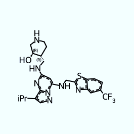 CC(C)c1cnn2c(NCc3nc4cc(C(F)(F)F)ccc4s3)cc(NC[C@H]3CCNC[C@@H]3O)nc12